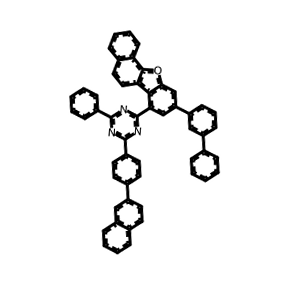 c1ccc(-c2cccc(-c3cc(-c4nc(-c5ccccc5)nc(-c5ccc(-c6ccc7ccccc7c6)cc5)n4)c4c(c3)oc3c5ccccc5ccc34)c2)cc1